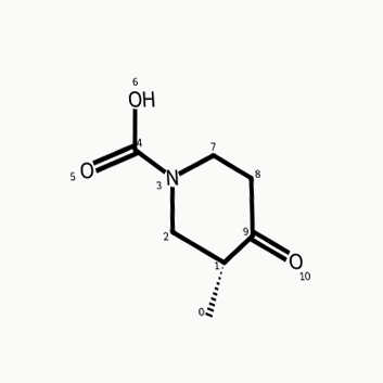 C[C@@H]1CN(C(=O)O)CCC1=O